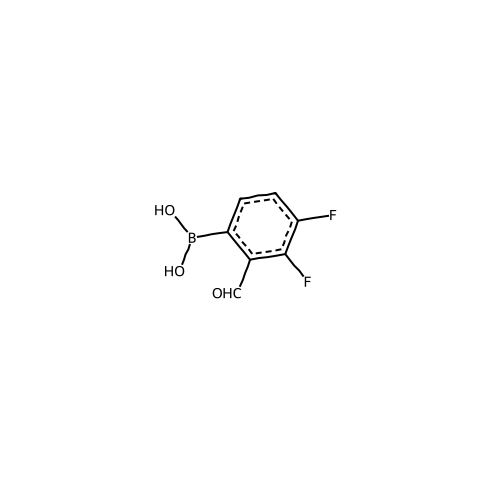 O=Cc1c(B(O)O)ccc(F)c1F